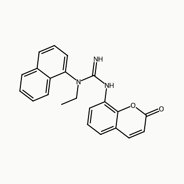 CCN(C(=N)Nc1cccc2ccc(=O)oc12)c1cccc2ccccc12